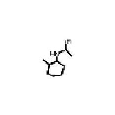 CC(C)C(C)NC1CCCCC1C